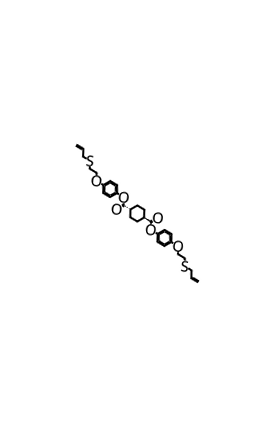 C=CCSCCOc1ccc(OC(=O)[C@H]2CC[C@H](C(=O)Oc3ccc(OCCSCC=C)cc3)CC2)cc1